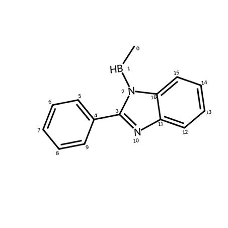 CBn1c(-c2ccccc2)nc2ccccc21